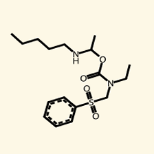 CCCCCNC(C)OC(=O)N(CC)CS(=O)(=O)c1ccccc1